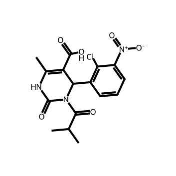 CC1=C(C(=O)O)C(c2cccc([N+](=O)[O-])c2Cl)N(C(=O)C(C)C)C(=O)N1